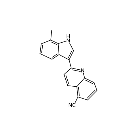 Cc1cccc2c(-c3ccc4c(C#N)cccc4n3)c[nH]c12